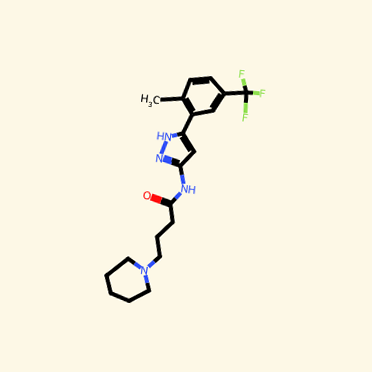 Cc1ccc(C(F)(F)F)cc1-c1cc(NC(=O)CCCN2CCCCC2)n[nH]1